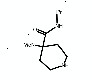 CNC1(C(=O)NC(C)C)CCNCC1